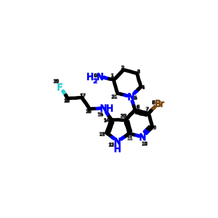 NC1CCCN(c2c(Br)cnc3[nH]cc(NCCCF)c23)C1